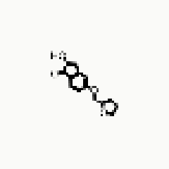 O=C1c2ccc(OC[C@H]3CCCO3)cc2CC1O